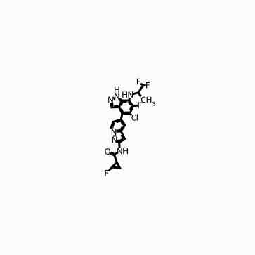 CC(Nc1c(F)c(Cl)c(-c2ccn3nc(NC(=O)C4CC4F)cc3c2)c2cn[nH]c12)C(F)F